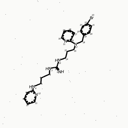 N=C(NCCCNc1ccccn1)NCCCN(Cc1ccc(Br)cc1)c1ccccn1